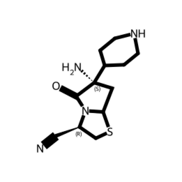 N#C[C@@H]1CSC2C[C@](N)(C3CCNCC3)C(=O)N21